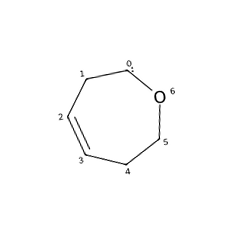 [C]1CC=CCCO1